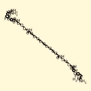 CC(=Cc1cc(F)c(Oc2ccc(S(=O)(=O)NCCOCCOCCOCCNC(=O)CCOCCOCCOCCOCCOCCOCCOCCOCCOCCC(=O)NCCOCCOCCOCCNS(=O)(=O)c3ccc(Oc4c(F)cc(C=C(C)C(=O)N=C(N)N)cc4F)cc3)cc2)c(F)c1)C(=O)N=C(N)N